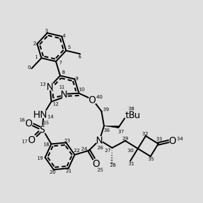 Cc1cccc(C)c1-c1cc2nc(n1)NS(=O)(=O)c1cccc(c1)C(=O)N([C@@H](C)CC1(C)CC(=O)C1)[C@H](CC(C)(C)C)CO2